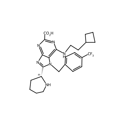 O=C(O)c1nc(NCCC2CCC2)c2c(n1)nc([C@H]1CCCCN1)n2Cc1ccc(C(F)(F)F)cc1